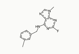 Cc1cccc(CNc2nc(F)nc3c2ncn3C)c1